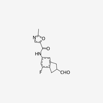 Cc1ncc(C(=O)Nc2cc(F)c3c(c2)CC(C=O)C3)o1